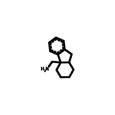 NCC12CCCCC1Cc1ccccc12